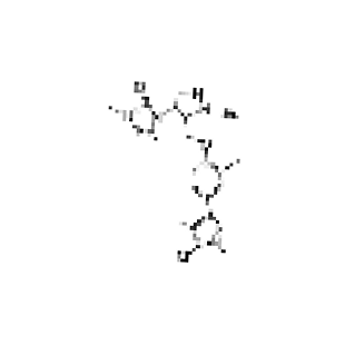 Cc1cc(-c2nn(C)c(Cl)c2C)ccc1OCC1C(n2nnn(C)c2=O)C=NN1C(C)(C)C